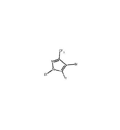 CCc1c(Br)c(C(F)(F)F)nn1CC